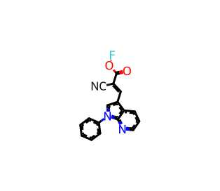 N#C/C(=C\c1cn(-c2ccccc2)c2ncccc12)C(=O)OF